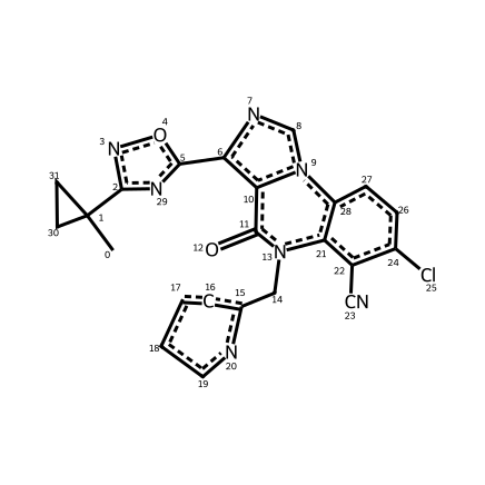 CC1(c2noc(-c3ncn4c3c(=O)n(Cc3ccccn3)c3c(C#N)c(Cl)ccc34)n2)CC1